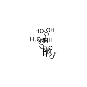 C[C@H](Cc1ccc2[nH]c(C(=O)NCc3c(F)cccc3F)cc2c1)NC[C@@H](O)c1ccc(O)c(CO)c1